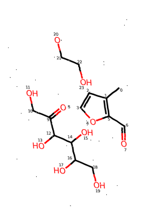 Cc1ccoc1C=O.O=C(CO)C(O)C(O)C(O)CO.[O]CCO